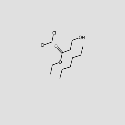 CCCCCC.CCOC(=O)CCO.ClCCl